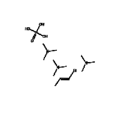 CC=CCC.CN(C)C.CN(C)C.CN(C)C.O=P(O)(O)O